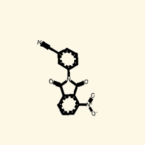 N#Cc1cccc(N2C(=O)c3cccc([N+](=O)[O-])c3C2=O)c1